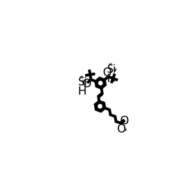 COC(=O)CCCCc1cccc(C=Cc2cc(C(O[SiH](C)C)C(C)(C)C)cc(C(O[SiH](C)C)C(C)(C)C)c2)c1